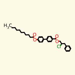 CCCCCCCCCCC(=O)Oc1ccc(-c2ccc(C(=O)OCC(Cl)Cc3ccccc3)cc2)cc1